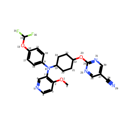 COc1ccncc1N(c1ccc(OC(F)F)cc1)C1CCC(Oc2ncc(C#N)cn2)CC1